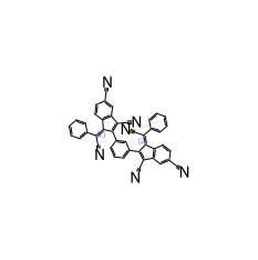 N#CC1=C(c2cccc(C3=C(C#N)c4cc(C#N)ccc4/C3=C(/C#N)c3ccccc3)c2)/C(=C(\C#N)c2ccccc2)c2ccc(C#N)cc21